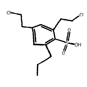 CCCc1cc(CCCl)cc(CCCl)c1S(=O)(=O)O